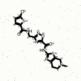 CN1CCc2nc(NC(=O)c3nc(CNC(=O)c4ccc(Cl)s4)no3)sc2C1